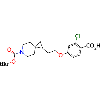 CC(C)(C)OC(=O)N1CCC2(CC1)CC2CCOc1ccc(C(=O)O)c(Cl)c1